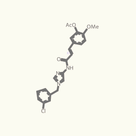 COc1ccc(/C=C/C(=O)Nc2cn(Cc3cccc(Cl)c3)cn2)cc1OC(C)=O